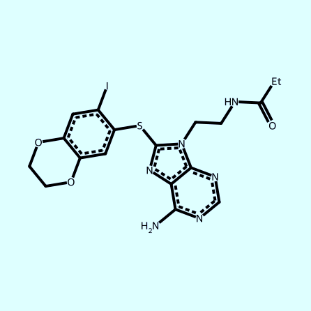 CCC(=O)NCCn1c(Sc2cc3c(cc2I)OCCO3)nc2c(N)ncnc21